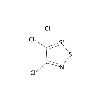 Clc1ns[s+]c1Cl.[Cl-]